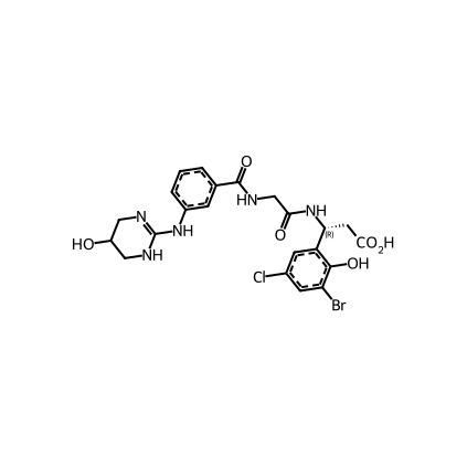 O=C(O)C[C@@H](NC(=O)CNC(=O)c1cccc(NC2=NCC(O)CN2)c1)c1cc(Cl)cc(Br)c1O